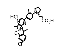 Cc1nn(C(C)c2ccc(Cl)cc2Cl)c2nc(C3=CC[C@H](N4CCC[C@H]4CCC(=O)O)[C@H](C)C3)cnc12.Cl